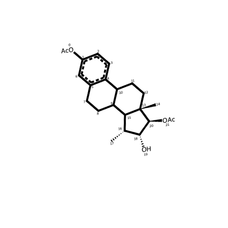 CC(=O)Oc1ccc2c(c1)CCC1C2CC[C@@]2(C)C1[C@@H](C)[C@@H](O)[C@@H]2OC(C)=O